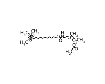 C=CC(=O)OCC(C)OCC(C)OCCNC(=O)OCCCCCCCCCCC[Si](OCC)(OCC)OCC